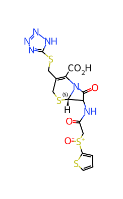 O=C(C[S+]([O-])c1cccs1)NC1C(=O)N2C(C(=O)O)=C(CSc3nnn[nH]3)CS[C@@H]12